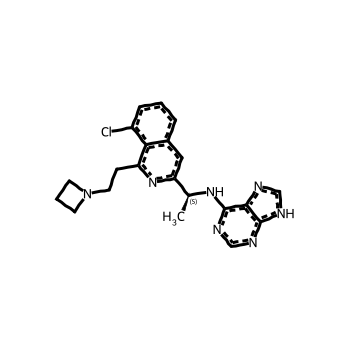 C[C@H](Nc1ncnc2[nH]cnc12)c1cc2cccc(Cl)c2c(CCN2CCC2)n1